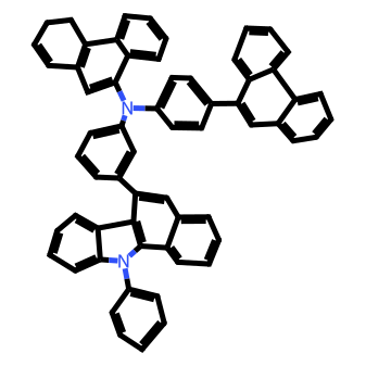 C1=Cc2cc(N(c3ccc(-c4cc5ccccc5c5ccccc45)cc3)c3cccc(-c4cc5ccccc5c5c4c4ccccc4n5-c4ccccc4)c3)c3ccccc3c2CC1